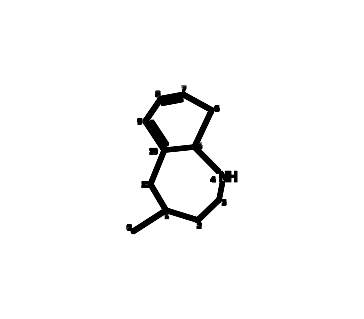 CC1CCNC2CC=CC=C2C1